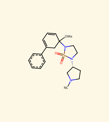 COC1(N2CCN([C@@H]3CCN(C#N)C3)S2(=O)=O)C=CC=C(c2ccccc2)C1